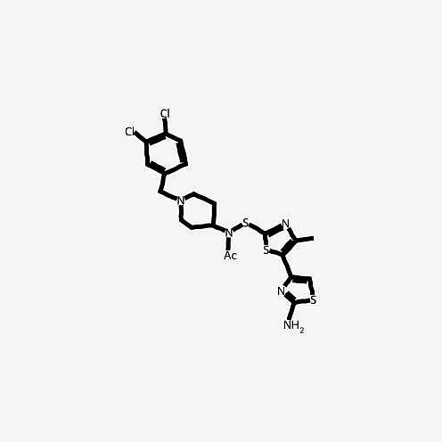 CC(=O)N(Sc1nc(C)c(-c2csc(N)n2)s1)C1CCN(Cc2ccc(Cl)c(Cl)c2)CC1